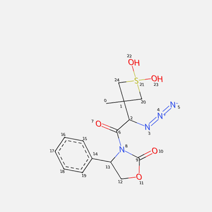 CC1(C(N=[N+]=[N-])C(=O)N2C(=O)OCC2c2ccccc2)CS(O)(O)C1